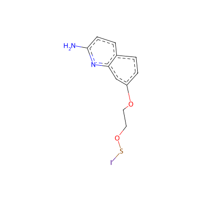 Nc1ccc2ccc(OCCOSI)cc2n1